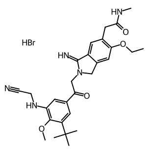 Br.CCOc1cc2c(cc1CC(=O)NC)C(=N)N(CC(=O)c1cc(NCC#N)c(OC)c(C(C)(C)C)c1)C2